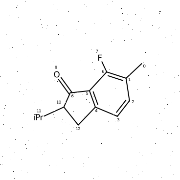 Cc1ccc2c(c1F)C(=O)C(C(C)C)C2